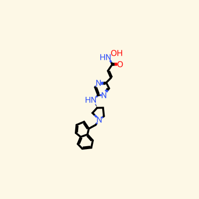 O=C(/C=C/c1cnc(N[C@@H]2CCN(Cc3cccc4ccccc34)C2)cn1)NO